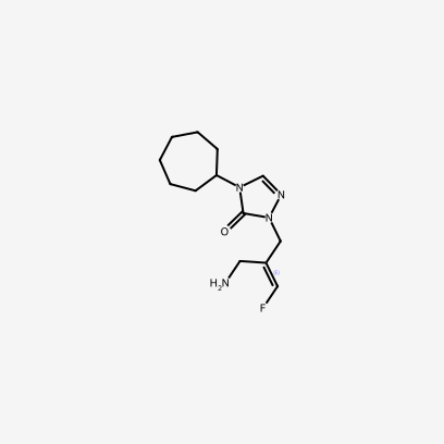 NC/C(=C\F)Cn1ncn(C2CCCCCC2)c1=O